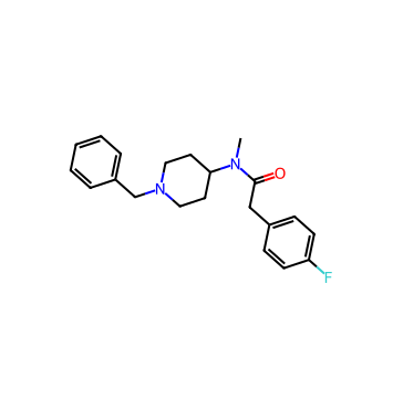 CN(C(=O)Cc1ccc(F)cc1)C1CCN(Cc2ccccc2)CC1